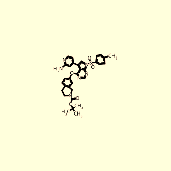 Cc1ccc(S(=O)(=O)n2cc(-c3ccnc(N)c3)c3c(Oc4ccc5c(c4)CN(C(=O)OC(C)(C)C)CC5)ncnc32)cc1